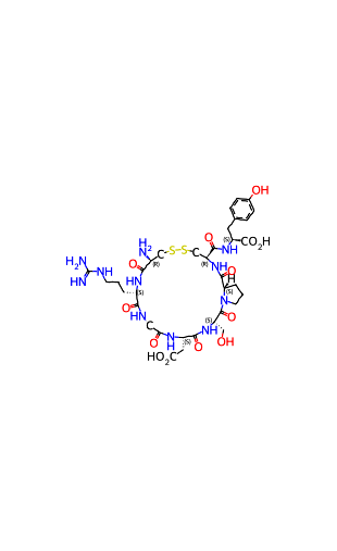 N=C(N)NCCC[C@@H]1NC(=O)[C@@H](N)CSSC[C@@H](C(=O)N[C@@H](Cc2ccc(O)cc2)C(=O)O)NC(=O)[C@@H]2CCCN2C(=O)[C@H](CO)NC(=O)[C@H](CC(=O)O)NC(=O)CNC1=O